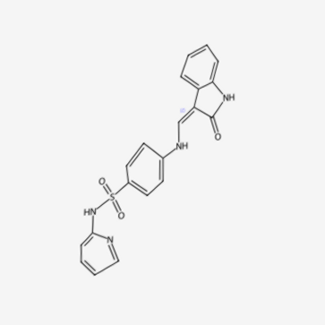 O=C1Nc2ccccc2/C1=C/Nc1ccc(S(=O)(=O)Nc2ccccn2)cc1